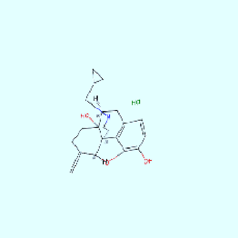 C=C1CCC2(O)[C@H]3Cc4ccc(O)c5c4[C@@]2(CCN3CC2CC2)[C@H]1O5.Cl